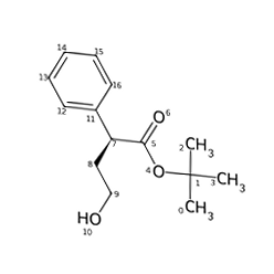 CC(C)(C)OC(=O)[C@@H](CCO)c1ccccc1